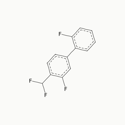 Fc1ccccc1-c1ccc(C(F)F)c(F)c1